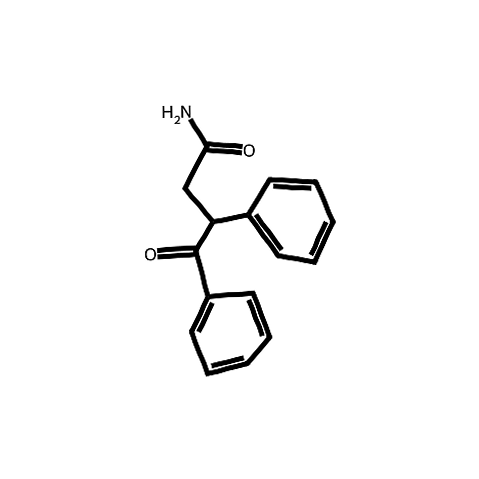 NC(=O)CC(C(=O)c1ccccc1)c1ccccc1